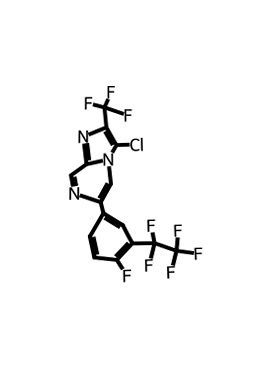 Fc1ccc(-c2cn3c(Cl)c(C(F)(F)F)nc3cn2)cc1C(F)(F)C(F)(F)F